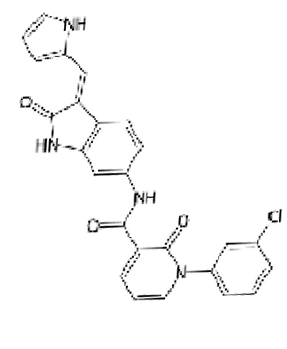 O=C1Nc2cc(NC(=O)c3cccn(-c4cccc(Cl)c4)c3=O)ccc2C1=Cc1ccc[nH]1